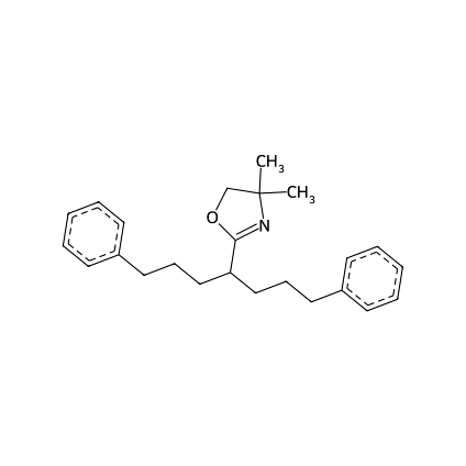 CC1(C)COC(C(CCCc2ccccc2)CCCc2ccccc2)=N1